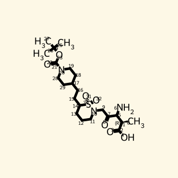 C[C@@H](C(=O)O)C(N)C(=O)CN1CCCC(CCC2CCN(C(=O)OC(C)(C)C)CC2)S1(=O)=O